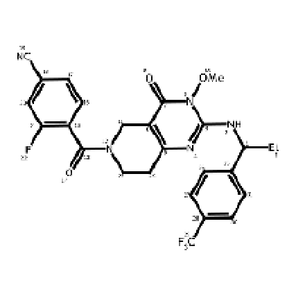 CCC(Nc1nc2c(c(=O)n1OC)CN(C(=O)c1ccc(C#N)cc1F)CC2)c1ccc(C(F)(F)F)cc1